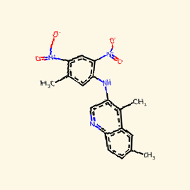 Cc1ccc2ncc(Nc3cc(C)c([N+](=O)[O-])cc3[N+](=O)[O-])c(C)c2c1